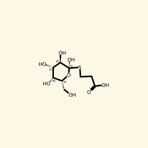 O=C(O)CCS[C@@]1(O)O[C@H](CO)[C@H](O)[C@H](O)[C@H]1O